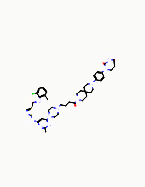 Cc1nc(Nc2ncc(C(=O)Nc3c(C)cccc3Cl)s2)cc(N2CCN(CCCC(=O)N3CCC4(CC3)CCN(c3ccc(N5CCC(=O)NC5=O)cc3)CC4)CC2)n1